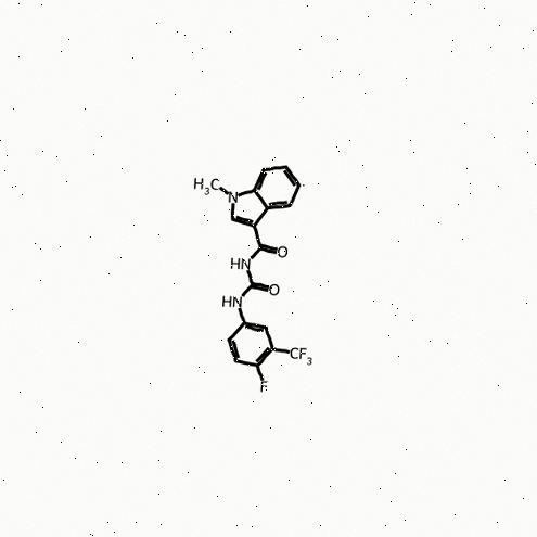 Cn1cc(C(=O)NC(=O)Nc2ccc(F)c(C(F)(F)F)c2)c2c[c]ccc21